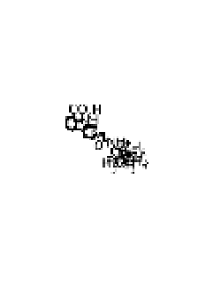 CC(C)(F)C(C(=O)CNC(=O)CN1CCc2c([nH]c3c(C(=O)O)cccc23)C1)(C(C)(C)F)C(C)(C)F